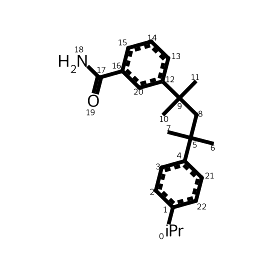 CC(C)c1ccc(C(C)(C)CC(C)(C)c2cccc(C(N)=O)c2)cc1